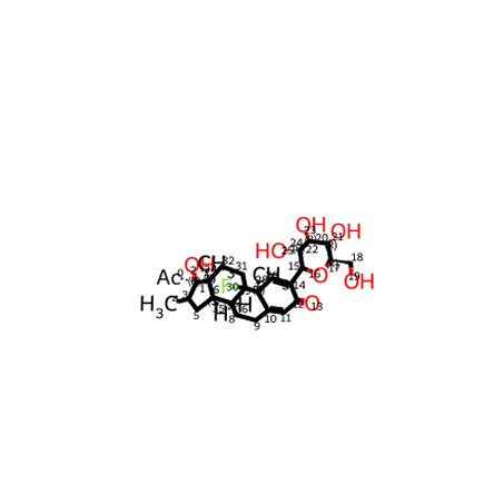 CC(=O)[C@@]1(O)C(C)C[C@H]2[C@@H]3CCC4=CC(=O)C(C5O[C@H](CO)[C@H](O)[C@H](O)[C@H]5O)=C[C@]4(C)C3(F)CC[C@@]21C